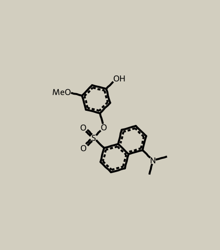 COc1cc(O)cc(OS(=O)(=O)c2cccc3c(N(C)C)cccc23)c1